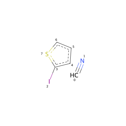 C#N.Ic1cccs1